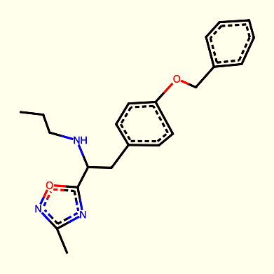 CCCNC(Cc1ccc(OCc2ccccc2)cc1)c1nc(C)no1